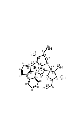 CC(C)(C)[Si](OC[C@@]1(O[C@H]2O[C@H](CO)[C@@H](O)[C@H](O)[C@H]2O)O[C@H](CO)[C@@H](O)[C@@H]1O)(c1ccccc1)c1ccccc1